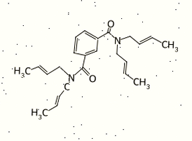 CC=CCN(CC=CC)C(=O)c1cccc(C(=O)N(CC=CC)CC=CC)c1